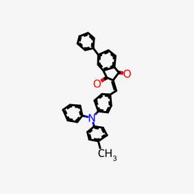 Cc1ccc(N(c2ccccc2)c2ccc(C=C3C(=O)c4ccc(-c5ccccc5)cc4C3=O)cc2)cc1